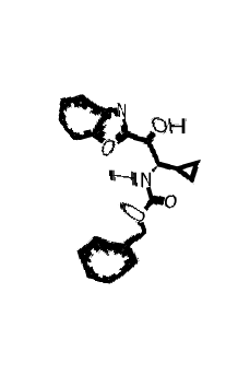 O=C(N[C@@H](C1CC1)C(O)c1nc2ccccc2o1)OCc1ccccc1